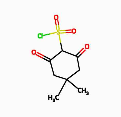 CC1(C)CC(=O)C(S(=O)(=O)Cl)C(=O)C1